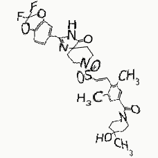 Cc1cc(C(=O)N2CCC(C)(O)CC2)cc(C)c1C=CS(=O)(=O)N1CCC2(CC1)N=C(c1ccc3c(c1)OC(F)(F)O3)NC2=O